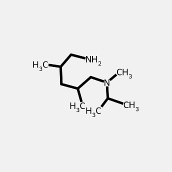 CC(CN)CC(C)CN(C)C(C)C